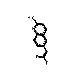 [CH2]c1ccc2cc(C=C(F)F)ccc2n1